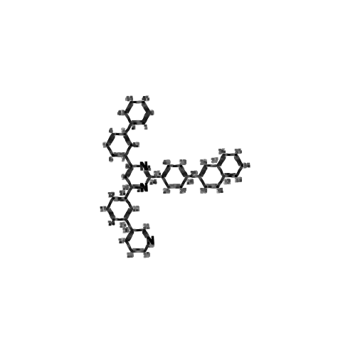 C1=C=C(c2cccc(-c3cc(-c4cccc(-c5cccnc5)c4)nc(-c4ccc(-c5ccc6ccccc6c5)cc4)n3)c2)C=CC=1